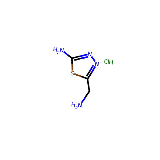 Cl.NCc1nnc(N)s1